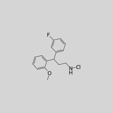 COc1ccccc1C(CCNCl)c1cccc(F)c1